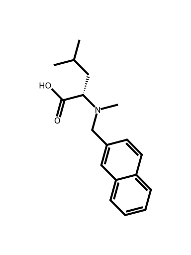 CC(C)C[C@@H](C(=O)O)N(C)Cc1ccc2ccccc2c1